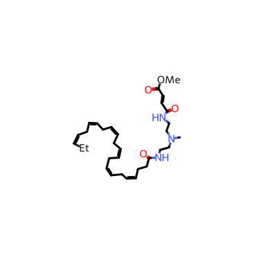 CC/C=C\C/C=C\C/C=C\C/C=C\C/C=C\C/C=C\CCC(=O)NCCN(C)CCNC(=O)/C=C/C(=O)OC